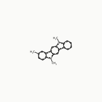 Cc1ccc2c(c1)c1cc3c(cc1n2C)c1ccccc1n3C